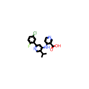 CC(C)c1cnc(-c2cc(Cl)ccc2F)cc1Nc1ccncc1C(=O)O